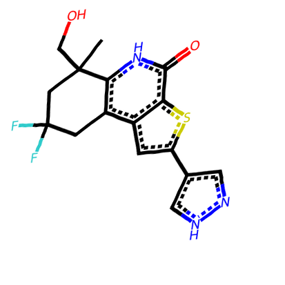 CC1(CO)CC(F)(F)Cc2c1[nH]c(=O)c1sc(-c3cn[nH]c3)cc21